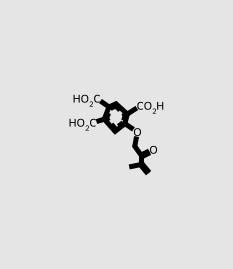 C=C(C)C(=O)COc1cc(C(=O)O)c(C(=O)O)cc1C(=O)O